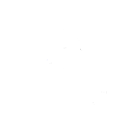 O=C(O)/C=C/c1ccc(/C(=C(\c2ccccc2)C2CC2)c2cccc3[nH]ncc23)cc1